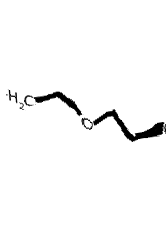 [CH2]COC[C]=O